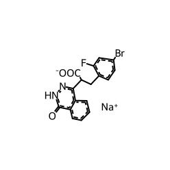 O=C([O-])C(Cc1ccc(Br)cc1F)c1n[nH]c(=O)c2ccccc12.[Na+]